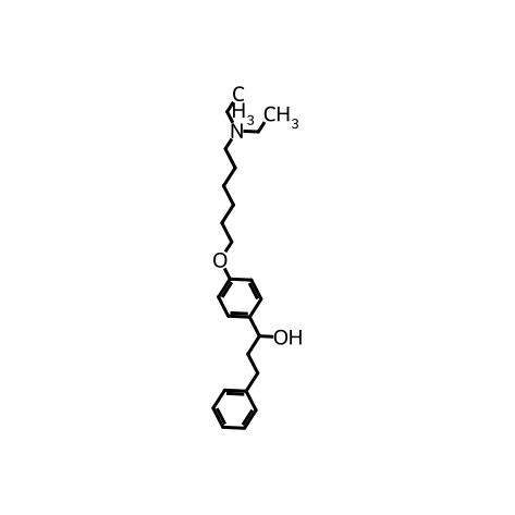 CCN(CC)CCCCCCOc1ccc(C(O)CCc2ccccc2)cc1